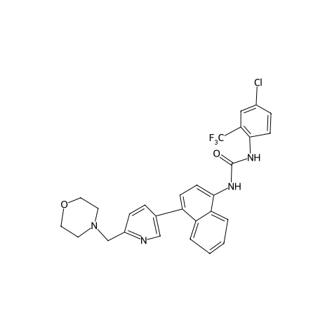 O=C(Nc1ccc(Cl)cc1C(F)(F)F)Nc1ccc(-c2ccc(CN3CCOCC3)nc2)c2ccccc12